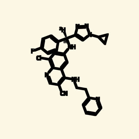 [2H][C@](Nc1cc(Cl)c2ncc(C#N)c(NCCc3ccccn3)c2c1)(c1ccc(F)cc1)c1cn(C2CC2)nn1